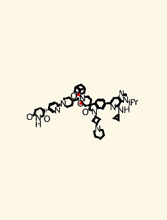 CC(C)n1cnc2cc(-c3ccc4c(c3)N(C3CC(N5CCCCC5)C3)C(=O)C43CCN(C(=O)C4C5CC4CN(C(=O)C4CCN(c6ccc([C@H]7CCC(=O)NC7=O)cn6)CC4)C5)CC3)nc(NC3CC3)c21